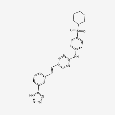 O=S(=O)(c1ccc(Nc2ncc(/C=C/c3cccc(-c4nnn[nH]4)c3)cn2)cc1)C1CCCCC1